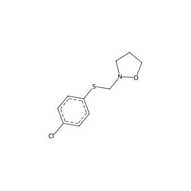 Clc1ccc(SCN2CCCO2)cc1